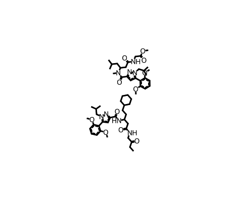 CCC(=O)CNC(=O)CC(CCC1CCCCC1)NC(=O)c1cc(-c2c(OC)cccc2OC)n(CC(C)C)n1.COC(=O)CNC(=O)CC(CC(C)C)N(C)C(=O)c1cc(-c2c(OC)cccc2OC)n(CC(C)C)n1